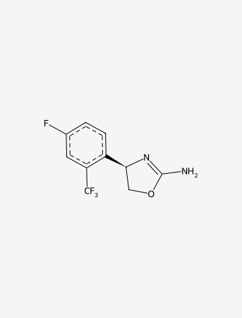 NC1=N[C@H](c2ccc(F)cc2C(F)(F)F)CO1